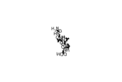 CC(C)C[C@H](NC(=O)[C@@H](NC(=O)CNC(=O)CN)C(C)C)C(=O)N1CCC[C@H]1C(=O)NCC(=O)O